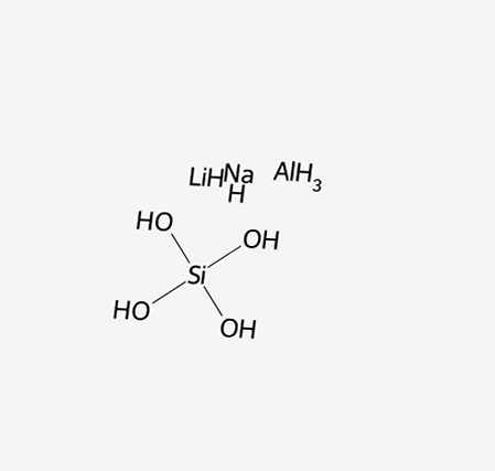 O[Si](O)(O)O.[AlH3].[LiH].[NaH]